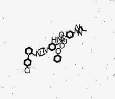 Cc1cnn(-c2ccc(S(=O)(=O)NC(=O)c3ccc(N4CCN(Cc5ccccc5-c5ccc(Cl)cc5)CC4)cc3Oc3ccccc3)cc2)n1